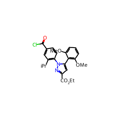 CCOC(=O)c1cc(-c2c(OC)cccc2OC)n(-c2ccc(C(=O)Cl)cc2C(C)C)n1